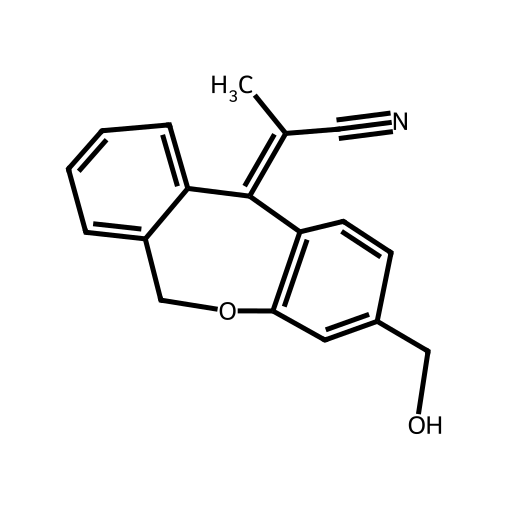 C/C(C#N)=C1\c2ccccc2COc2cc(CO)ccc21